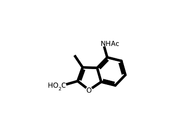 CC(=O)Nc1cccc2oc(C(=O)O)c(C)c12